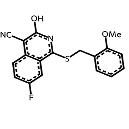 COc1ccccc1CSc1nc(O)c(C#N)c2ccc(F)cc12